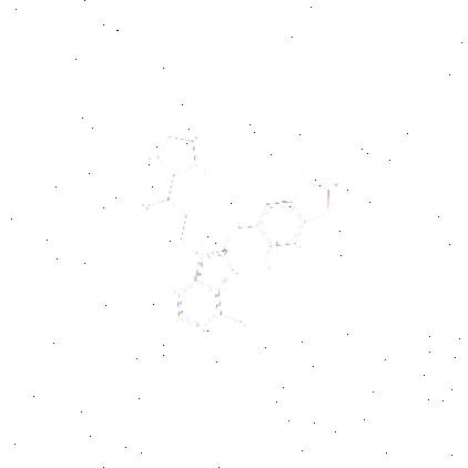 Nc1ncnc2c1nc(Sc1cc3c(cc1Br)OCO3)n2CCC(N)C1CCCC1